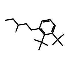 CCC(F)CCc1cccc(C(C)(C)C)c1C(C)(C)C